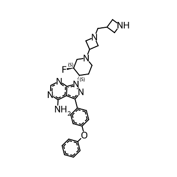 Nc1ncnc2c1c(-c1ccc(Oc3ccccc3)cc1)nn2[C@H]1CCN(C2CN(CC3CNC3)C2)C[C@@H]1F